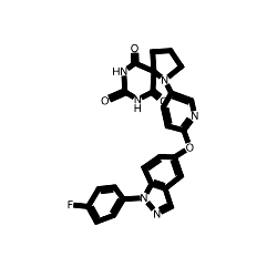 O=C1NC(=O)C2(CCCN2c2ccc(Oc3ccc4c(cnn4-c4ccc(F)cc4)c3)nc2)C(=O)N1